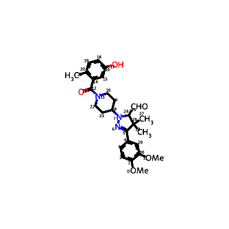 COc1ccc(C2=NN(C3CCN(C(=O)c4cc(O)ccc4C)CC3)C(C=O)C2(C)C)cc1OC